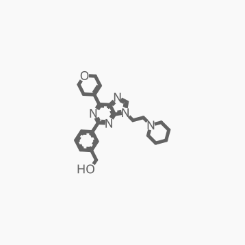 OCc1cccc(-c2nc(C3=CCOCC3)c3ncn(CCN4CCCCC4)c3n2)c1